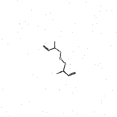 C=CC(C)SOSC(C)C=C